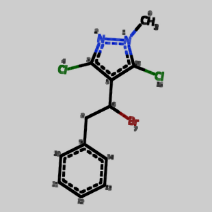 Cn1nc(Cl)c(C(Br)Cc2ccccc2)c1Cl